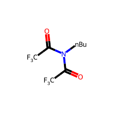 CCCCN(C(=O)C(F)(F)F)C(=O)C(F)(F)F